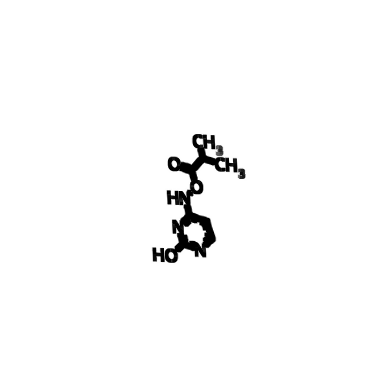 CC(C)C(=O)ONc1ccnc(O)n1